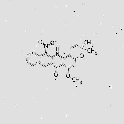 COc1cc2c(c3[nH]c4c([N+](=O)[O-])c5ccccc5cc4c(=O)c13)C=CC(C)(C)O2